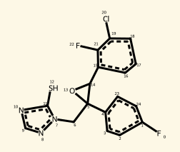 Fc1ccc(C2(Cn3ncnc3S)OC2c2cccc(Cl)c2F)cc1